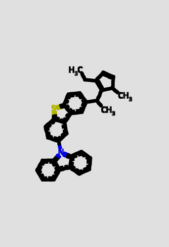 CCC1=C(C(C)c2ccc3sc4ccc(-n5c6ccccc6c6ccccc65)cc4c3c2)C(C)C=C1